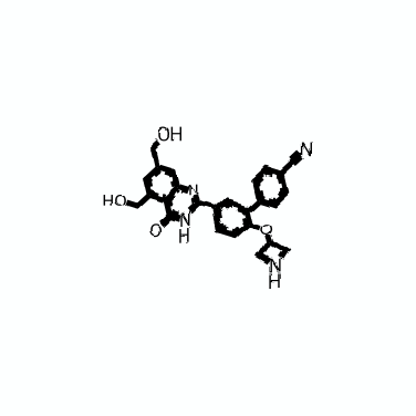 N#Cc1ccc(-c2cc(-c3nc4cc(CO)cc(CO)c4c(=O)[nH]3)ccc2OC2CNC2)cc1